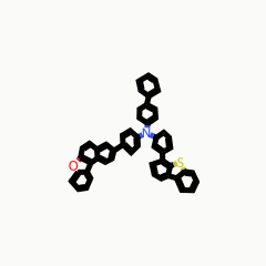 C1=CC(c2cccc3c2sc2ccccc23)=CC(N(C2=CC=C(c3ccccc3)CC2)c2ccc(-c3ccc4c(ccc5oc6ccccc6c54)c3)cc2)C1